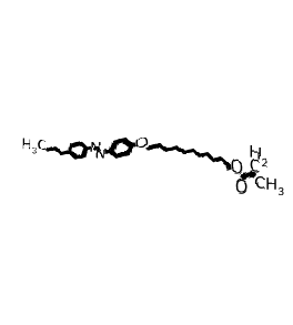 C=C(C)C(=O)OCCCCCCCCCCCOc1ccc(/N=N/c2ccc(CCCC)cc2)cc1